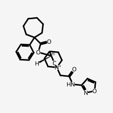 O=C(C[N+]12CCC(CC1)[C@@H](OC(=O)C1(c3ccccc3)CCCCCC1)C2)Nc1ccon1